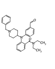 CCN(CC)C(=O)c1ccccc1N(c1cccc(C=O)c1)C1CCN(Cc2ccccc2)CC1